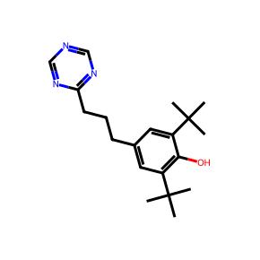 CC(C)(C)c1cc(CCCc2ncncn2)cc(C(C)(C)C)c1O